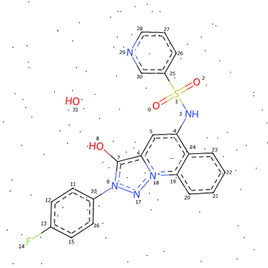 O=S(=O)(Nc1cc2c(O)n(-c3ccc(F)cc3)n[n+]2c2ccccc12)c1cccnc1.[OH-]